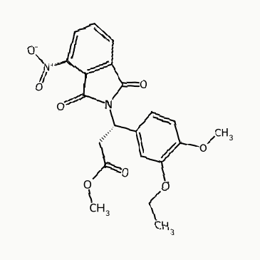 CCOc1cc([C@H](CC(=O)OC)N2C(=O)c3cccc([N+](=O)[O-])c3C2=O)ccc1OC